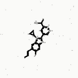 C/C=C/c1cc2c(cc1F)nc(-c1cnnc(C(C)O)c1)n2C1CC1